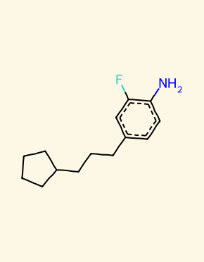 Nc1ccc(CCCC2CCCC2)cc1F